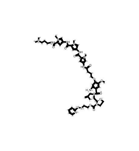 C=C1C[C@@H]([C@@H]2OCCN2C(=O)OCCSSc2ccccn2)N(C(=O)c2cc(OC)c(OCCCC(=O)Nc3cc(C(=O)Nc4cc(C(=O)Nc5cc(C(=O)NCCCN(C)C)n(C)c5)n(C)c4)n(C)c3)cc2N)C1